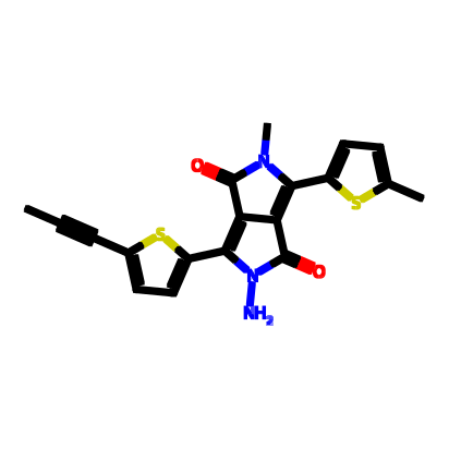 CC#Cc1ccc(C2=C3C(=O)N(C)C(c4ccc(C)s4)=C3C(=O)N2N)s1